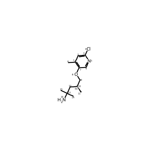 Cc1cc(Cl)ncc1OC[C@@H](C)CC(C)(C)N